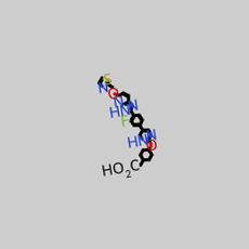 O=C(O)CC1CCC(OC2=NC=C(c3ccc(-c4nc5ccc(OCc6nccs6)nc5[nH]4)c(F)c3)CN2)CC1